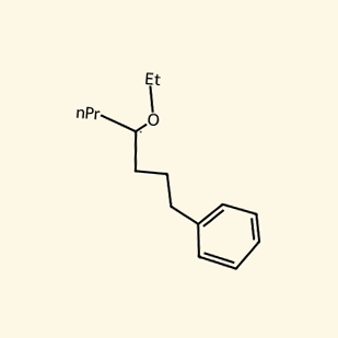 CCC[C](CCCc1ccccc1)OCC